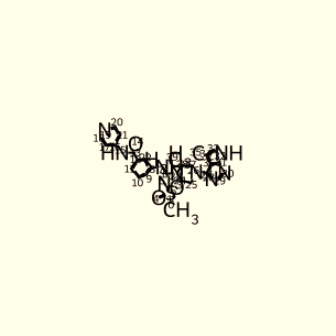 CCS(=O)(=O)N=C(Nc1cccc(C(=O)Nc2ccncc2)c1)N1CCN(c2ncnc3[nH]cc(C)c23)CC1C